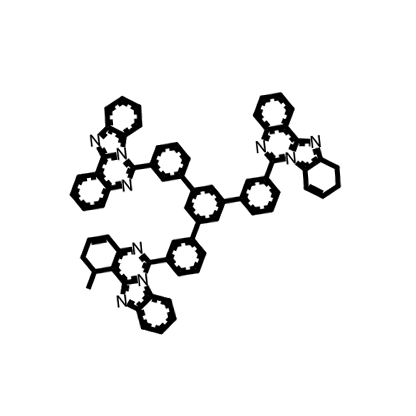 CC1CC=Cc2nc(-c3cccc(-c4cc(-c5cccc(-c6nc7ccccc7c7nc8c(n67)C=CCC8)c5)cc(-c5cccc(-c6nc7ccccc7c7nc8ccccc8n67)c5)c4)c3)n3c(nc4ccccc43)c21